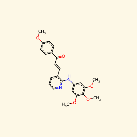 COc1ccc(C(=O)C=Cc2cccnc2Nc2cc(OC)c(OC)c(OC)c2)cc1